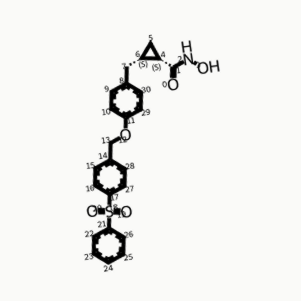 O=C(NO)[C@H]1C[C@H]1Cc1ccc(OCc2ccc(S(=O)(=O)c3ccccc3)cc2)cc1